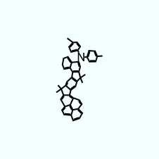 Cc1ccc(N(c2ccc(C)cc2)c2cc3c(c4c2=CCCC=4)-c2cc4c(cc2C3(C)C)-c2c(cc3ccc5cccc6ccc2c3c56)C4(C)C)cc1